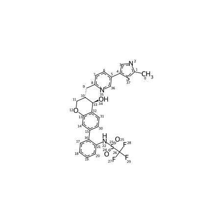 Cc1ncc(-c2ccc(C[C@H]3COc4cc(-c5ccccc5NS(=O)(=O)C(F)(F)F)ccc4[C@@H]3O)nc2)s1